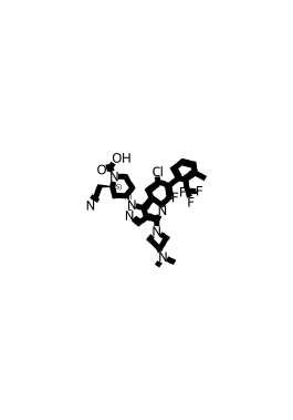 Cc1cccc(-c2c(Cl)cc3c(nc(N4CC(N(C)C)C4)c4cnn([C@H]5CCN(C(=O)O)[C@H](CC#N)C5)c43)c2F)c1C(F)(F)F